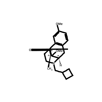 COc1ccc2c(c1)[C@]13CCN(CC4CCC4)[C@H](C2)C1(OC)[C@H](C)CC(=O)C3